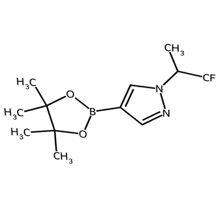 CC(n1cc(B2OC(C)(C)C(C)(C)O2)cn1)C(F)(F)F